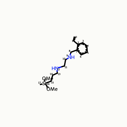 C=Cc1ccccc1CNCCNCCC[Si](C)(OC)OC